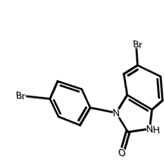 O=c1[nH]c2ccc(Br)cc2n1-c1ccc(Br)cc1